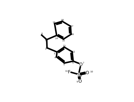 CC(Cc1ccc(OS(=O)(=O)F)cc1)c1ccccc1